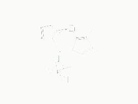 CC1=[C]([Zr][C]2=C(C)C=CC2)CC=C1.C[Si](C)(Cl)Cl